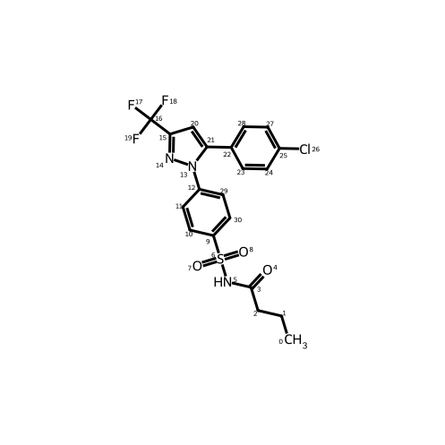 CCCC(=O)NS(=O)(=O)c1ccc(-n2nc(C(F)(F)F)cc2-c2ccc(Cl)cc2)cc1